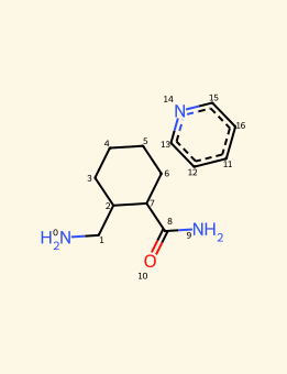 NCC1CCCCC1C(N)=O.c1ccncc1